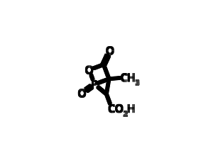 CC12C(=O)OP1(=O)C2C(=O)O